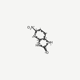 O=c1[nH]c2ccc([N+](=O)[O-])nc2[nH]1